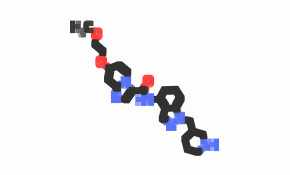 COCCOc1ccn2c(C(=O)Nc3cccc4c3cnn4CC3CCCNC3)cnc2c1